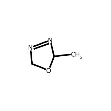 CC1N=NCO1